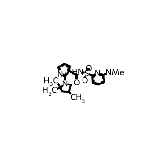 CNc1cccc(S(=O)(=O)NC(=O)c2cccnc2N2CC(C)CC2(C)C)n1